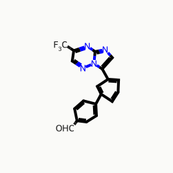 O=Cc1ccc(-c2cccc(-c3cnc4nc(C(F)(F)F)cnn34)c2)cc1